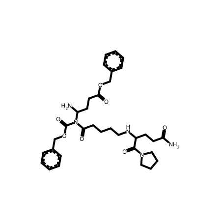 NC(=O)CCC(NCCCCC(=O)N(C(=O)OCc1ccccc1)C(N)CCC(=O)OCc1ccccc1)C(=O)N1CCCC1